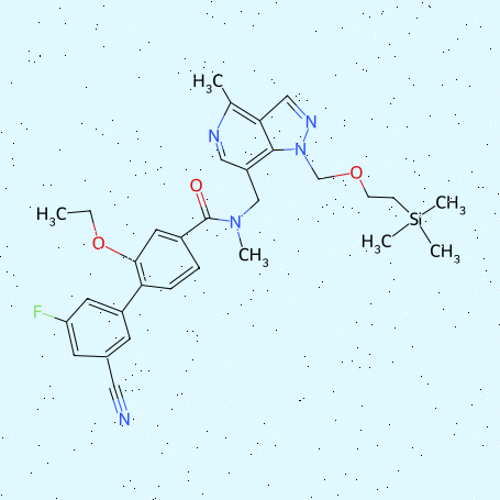 CCOc1cc(C(=O)N(C)Cc2cnc(C)c3cnn(COCC[Si](C)(C)C)c23)ccc1-c1cc(F)cc(C#N)c1